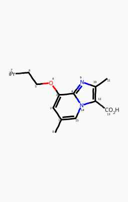 Cc1cc(OCCC(C)C)c2nc(C)c(C(=O)O)n2c1